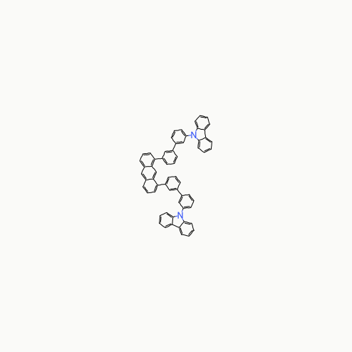 c1cc(-c2cccc(-n3c4ccccc4c4ccccc43)c2)cc(-c2cccc3cc4cccc(-c5cccc(-c6cccc(-n7c8ccccc8c8ccccc87)c6)c5)c4cc23)c1